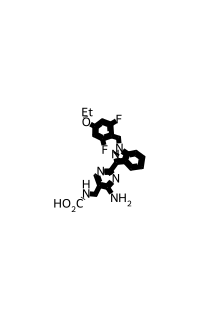 CCOc1cc(F)c(Cn2nc(-c3ncc(CNC(=O)O)c(N)n3)c3ccccc32)c(F)c1